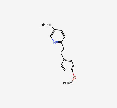 CCCCCCCc1ccc(CCc2ccc(OCCCCCC)cc2)nc1